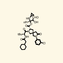 CCC[C@](NC1CC1)(OC(=O)[C@@H]1C[C@]2(CC(=O)N(c3cccc(Cl)c3)C2)CN1C(=O)[C@@H](NC(=O)CC1CCCCC1)C(C)(C)C)C(O)C=O